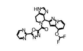 O=C(c1nnc(-c2ncccn2)o1)N1CCc2[nH]cnc2C1c1cc2c(OC(F)F)cccn2n1